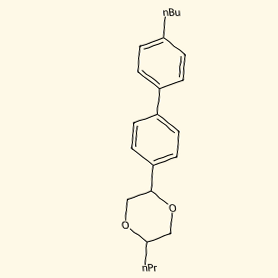 CCCCc1ccc(-c2ccc(C3COC(CCC)CO3)cc2)cc1